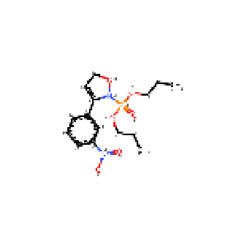 CCCOP(=O)(OCCC)N1OCC=C1c1cccc([N+](=O)[O-])c1